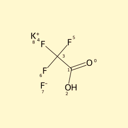 O=C(O)C(F)(F)F.[F-].[K+]